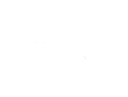 CCCCCCCCCCCCOCc1ccccn1.Cl